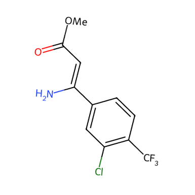 COC(=O)C=C(N)c1ccc(C(F)(F)F)c(Cl)c1